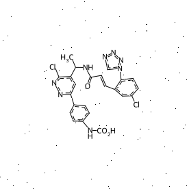 CC(NC(=O)C=Cc1cc(Cl)ccc1-n1cnnn1)c1cc(-c2ccc(NC(=O)O)cc2)nnc1Cl